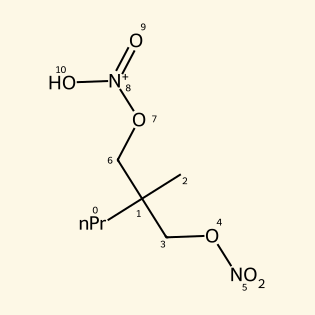 CCCC(C)(CO[N+](=O)[O-])CO[N+](=O)O